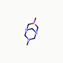 CN1CN2CN(C1)CP(C)C2